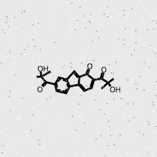 CC(C)(O)C(=O)C1=CC=C2C(=Cc3cc(C(=O)C(C)(C)O)ccc32)C1=O